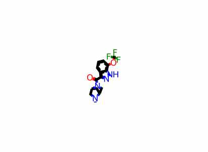 CN1CC2CC1CN2C(=O)c1n[nH]c2c(OC(F)(F)F)cccc12